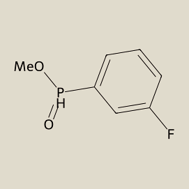 CO[PH](=O)c1cccc(F)c1